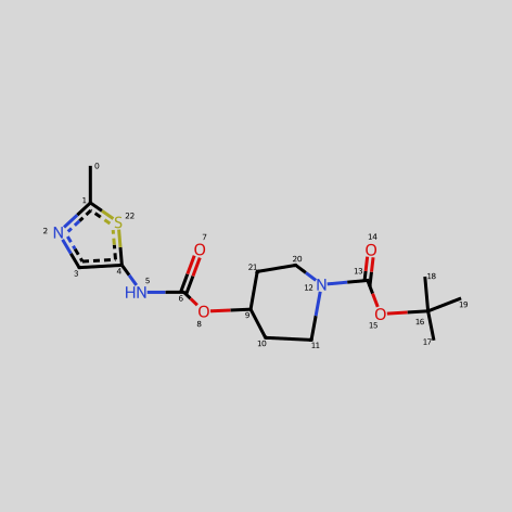 Cc1ncc(NC(=O)OC2CCN(C(=O)OC(C)(C)C)CC2)s1